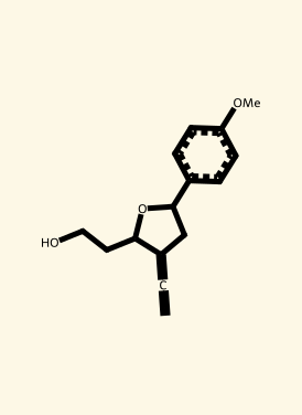 C=C=C1CC(c2ccc(OC)cc2)OC1CCO